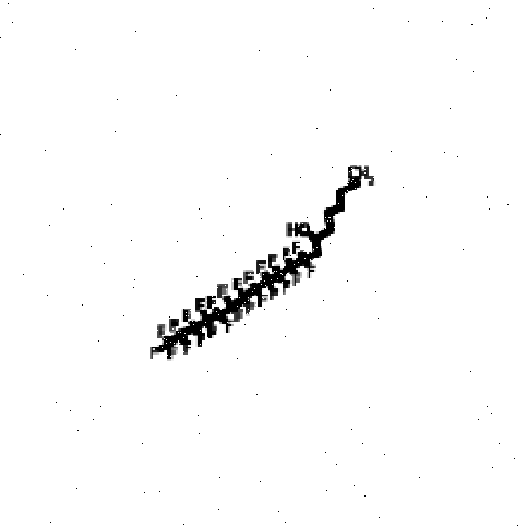 C=CCCCCC(O)CC(F)(F)C(F)(F)C(F)(F)C(F)(F)C(F)(F)C(F)(F)C(F)(F)C(F)(F)C(F)(F)C(F)(F)C(F)(F)C(F)(F)F